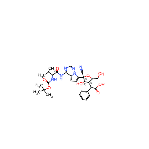 CC(C)C(NC(=O)OC(C)(C)C)C(=O)Nc1ncnn2c([C@]3(C#N)OC(CO)[C@@H](C(C(=O)O)c4ccccc4)[C@H]3O)ccc12